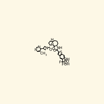 Cc1cncnc1C1CN(C(=O)[C@@H]2CC[C@@H]3CCC[C@H](NC(=O)c4cc5cc(C(F)(F)P(=O)(O)O)ccc5s4)C(=O)N32)C1